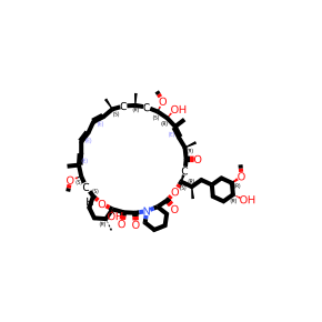 CO[C@H]1C[C@@H]2CC[C@@H](C)[C@@](O)(O2)C(=O)C(=O)N2CCCCC2C(=O)O[C@H]([C@H](C)CC2CC[C@@H](O)[C@H](OC)C2)CC(=O)[C@H](C)/C=C(\C)[C@@H](O)[C@@H](OC)C[C@H](C)C[C@H](C)/C=C/C=C/C=C/1C